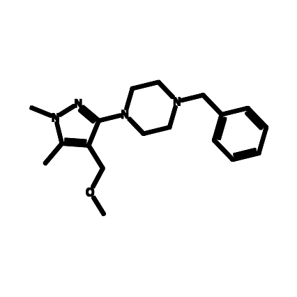 COCc1c(N2CCN(Cc3ccccc3)CC2)nn(C)c1C